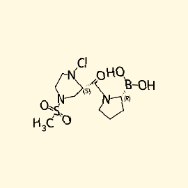 CS(=O)(=O)N1CCN(Cl)[C@H](C(=O)N2CCC[C@H]2B(O)O)C1